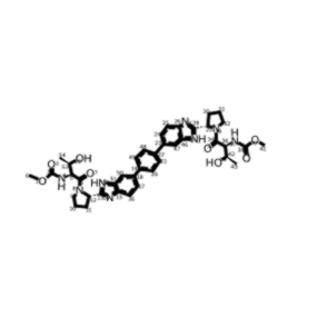 COC(=O)N[C@H](C(=O)N1CCC[C@H]1c1nc2ccc(-c3ccc(-c4ccc5nc([C@@H]6CCCN6C(=O)[C@@H](NC(=O)OC)[C@@H](C)O)[nH]c5c4)cc3)cc2[nH]1)[C@@H](C)O